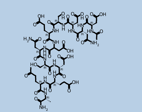 CC(=O)CC[C@@H](NC(=O)[C@@H](CCC(=O)O)NC(=O)[C@@H](CC(=O)O)NC(=O)[C@@H](CO)NC(=O)[C@@H](CC(N)=O)NC(=O)C(CC(=O)O)NC(=O)[C@@H](CCC(=O)O)NC(=O)[C@@H](CO)NC(=O)[C@@H](CC(=O)O)NC(=O)[C@@H](CC(N)=O)NC(=O)[C@@H](CC(=O)O)NC(C)=O)C(=O)N[C@H](C)C(N)=O